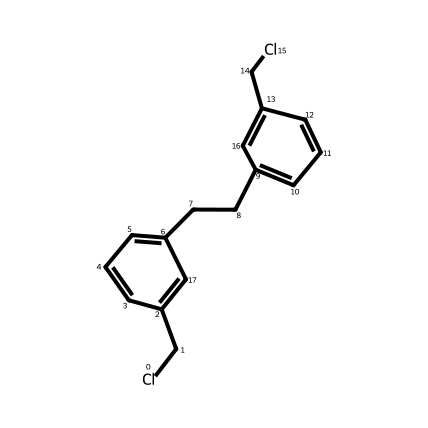 ClCc1cccc(CCc2cccc(CCl)c2)c1